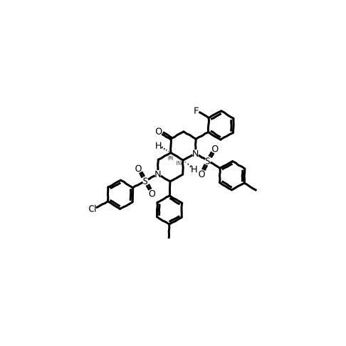 Cc1ccc(C2C[C@H]3[C@@H](CN2S(=O)(=O)c2ccc(Cl)cc2)C(=O)CC(c2ccccc2F)N3S(=O)(=O)c2ccc(C)cc2)cc1